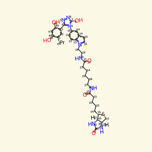 CC(C)c1cc(-c2nnc(O)n2-c2ccc3c(ccn3CCNC(=O)CCCCCNC(=O)CCCC[C@H]3SC[C@H]4NC(=O)N[C@H]43)c2)c(O)cc1O